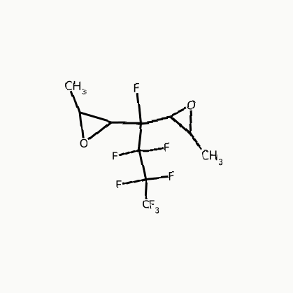 CC1OC1C(F)(C1OC1C)C(F)(F)C(F)(F)C(F)(F)F